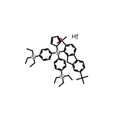 CC[Si](CC)(CC)c1ccc([Si](c2ccc([Si](CC)(CC)CC)cc2)(c2c(C(C)(C)C)ccc3c2Cc2cc(C(C)(C)C)ccc2-3)C2C=CC=C2)cc1.[Hf]